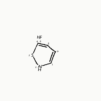 C1=[CH][AlH][S]C=C1.F